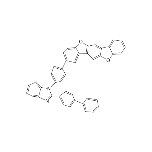 c1ccc(-c2ccc(-c3nc4ccccc4n3-c3ccc(-c4ccc5oc6cc7c(cc6c5c4)oc4ccccc47)cc3)cc2)cc1